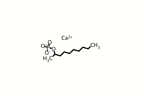 CCCCCCCCC(C)OP(=O)([O-])[O-].[Ca+2]